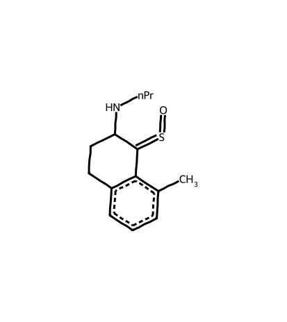 CCCNC1CCc2cccc(C)c2C1=S=O